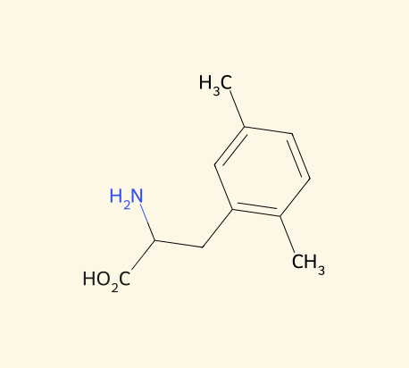 Cc1ccc(C)c(CC(N)C(=O)O)c1